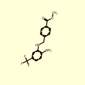 COC(=O)c1ccc(CNc2cc(C(F)(F)F)ccc2N)cc1